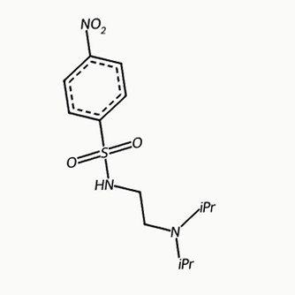 CC(C)N(CCNS(=O)(=O)c1ccc([N+](=O)[O-])cc1)C(C)C